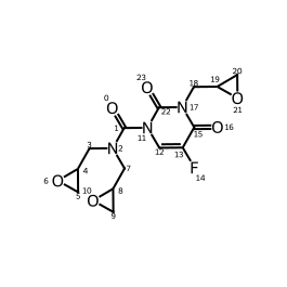 O=C(N(CC1CO1)CC1CO1)n1cc(F)c(=O)n(CC2CO2)c1=O